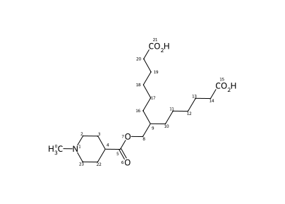 CN1CCC(C(=O)OCC(CCCCCC(=O)O)CCCCCC(=O)O)CC1